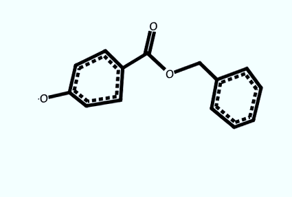 [O]c1ccc(C(=O)OCc2ccccc2)cc1